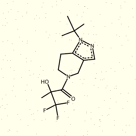 CC(C)(C)n1ncc2c1CCN(C(=O)C(C)(O)C(F)(F)F)C2